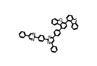 c1ccc(-c2cnc(-c3ccc(-c4nc(-c5ccccc5)cc(-c5ccc(-c6ccc(-c7cccc8sc9ccccc9c78)c7oc8ccccc8c67)cc5)n4)cc3)nc2)cc1